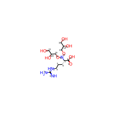 N=C(N)NCCC[C@@H](C(=O)O)N(OCC(O)CO)OCC(O)CO